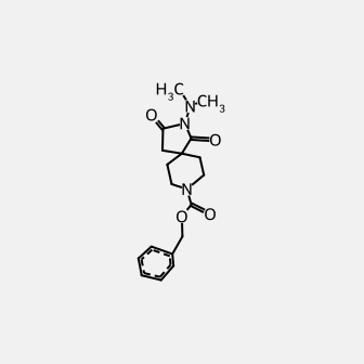 CN(C)N1C(=O)CC2(CCN(C(=O)OCc3ccccc3)CC2)C1=O